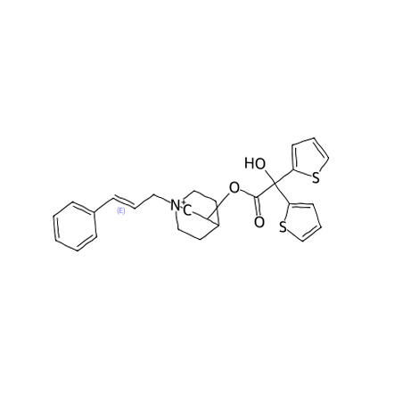 O=C(OC1C[N+]2(C/C=C/c3ccccc3)CCC1CC2)C(O)(c1cccs1)c1cccs1